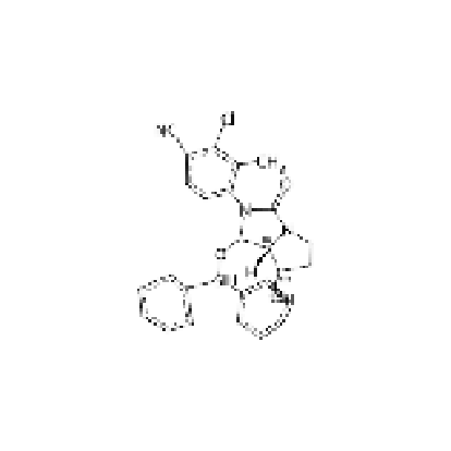 Cc1c(N2C(=O)N3CC[C@@H](C(C)(C)C)[C@@H]3C2O[SiH](c2ccccc2)c2ccccc2)ccc(C#N)c1Cl